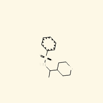 CC(NS(=O)(=O)c1ccccc1)C1CCNCC1